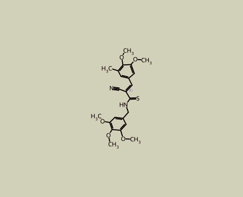 COc1cc(/C=C(\C#N)C(=S)NCc2cc(OC)c(OC)c(OC)c2)cc(C)c1OC